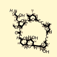 C=C1C[C@@H]2CC[C@]3(C)C[C@@H](O)[C@H](O3)[C@H]3C[C@@H](O)[C@H]4O[C@H](CC[C@@H]4O3)CC(=O)C[C@@H]3[C@@H](OC)[C@@H](C[C@H](O)CN)O[C@H]3C[C@H]3O[C@@H](CC[C@@H]1O2)C[C@@H](C)C3=C